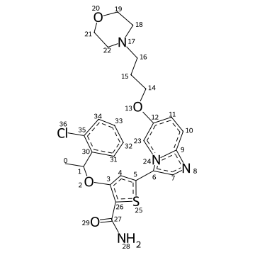 CC(Oc1cc(-c2cnc3ccc(OCCCN4CCOCC4)cn23)sc1C(N)=O)c1ccccc1Cl